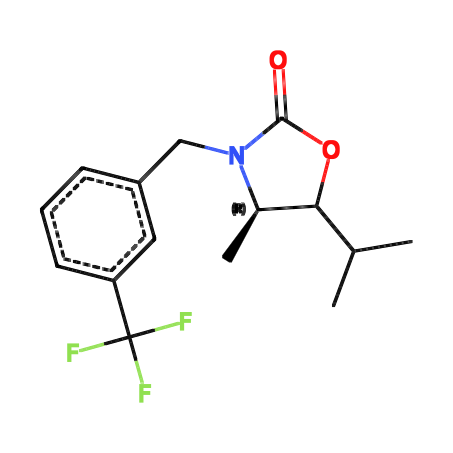 CC(C)C1OC(=O)N(Cc2cccc(C(F)(F)F)c2)[C@@H]1C